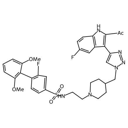 COc1cccc(OC)c1-c1ccc(S(=O)(=O)NCCN2CCC(Cn3cc(-c4c(C(C)=O)[nH]c5ccc(F)cc45)nn3)CC2)cc1F